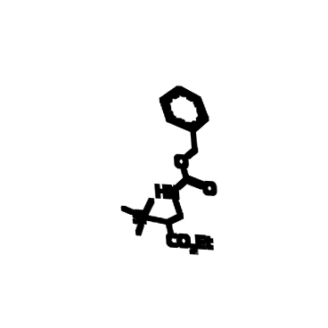 CCOC(=O)C(CNC(=O)OCc1ccccc1)[Si](C)(C)C